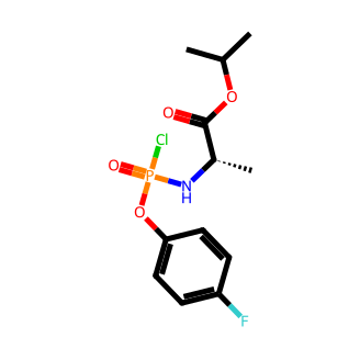 CC(C)OC(=O)[C@H](C)NP(=O)(Cl)Oc1ccc(F)cc1